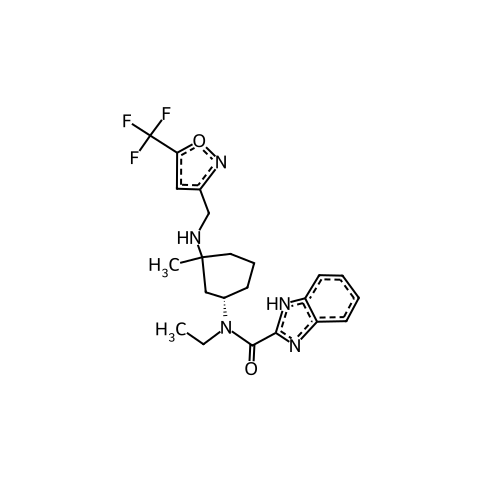 CCN(C(=O)c1nc2ccccc2[nH]1)[C@H]1CCCC(C)(NCc2cc(C(F)(F)F)on2)C1